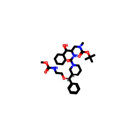 COC(=O)NCCO[C@@H](c1ccccc1)[C@@H]1CCCN(C(=O)NC(CN(C)C(=O)OC(C)(C)C)C(O)C2CCCCC2)C1